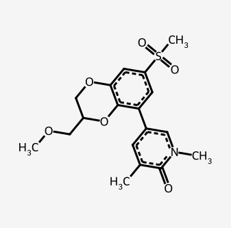 COCC1COc2cc(S(C)(=O)=O)cc(-c3cc(C)c(=O)n(C)c3)c2O1